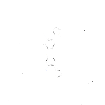 Nc1cc(Sc2ccc(-c3cccs3)c(N)c2)ccc1-c1cccs1